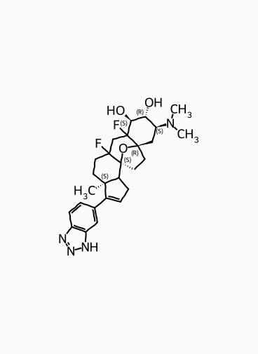 CN(C)[C@H]1C[C@@]23CC[C@]4(O2)C2CC=C(c5ccc6nn[nH]c6c5)[C@@]2(C)CCC4(F)CC3(F)[C@@H](O)[C@@H]1O